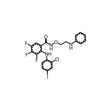 O=C(NOCCNc1ccccc1)c1cc(F)c(F)c(F)c1Nc1ccc(I)cc1Cl